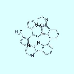 Cn1cccc1C(c1cccn1C)=c1n2c3nccnc3c3cccc(c4cccc5c6nccnc6n1c45)c32